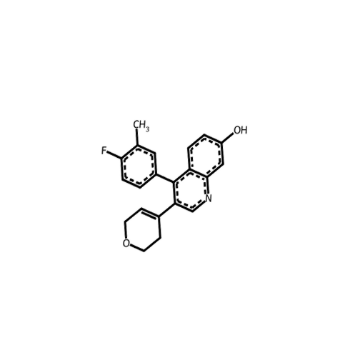 Cc1cc(-c2c(C3=CCOCC3)cnc3cc(O)ccc23)ccc1F